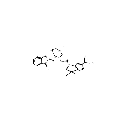 CCCC(O)c1cnc2c(c1)N(C(=O)CN1C[C@@H](C)NC[C@@H]1CN1Cc3ccccc3C1=O)CC2(C)C